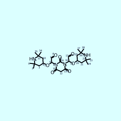 CC1(C)CC(OC(C=O)N2C(=O)CC(=O)N(C(C=O)OC3CC(C)(C)NC(C)(C)C3)C2=O)CC(C)(C)N1